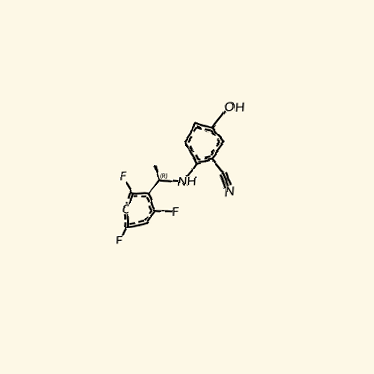 C[C@@H](Nc1ccc(O)cc1C#N)c1c(F)cc(F)cc1F